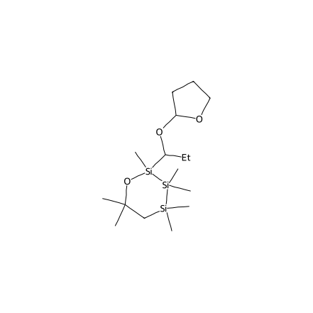 CCC(OC1CCCO1)[Si]1(C)OC(C)(C)C[Si](C)(C)[Si]1(C)C